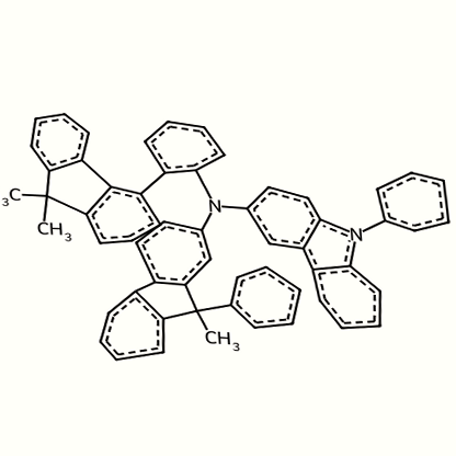 CC1(C)c2ccccc2-c2c(-c3ccccc3N(c3ccc4c(c3)C(C)(c3ccccc3)c3ccccc3-4)c3ccc4c(c3)c3ccccc3n4-c3ccccc3)cccc21